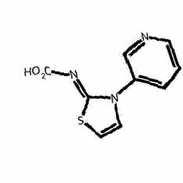 O=C(O)N=c1sccn1-c1cccnc1